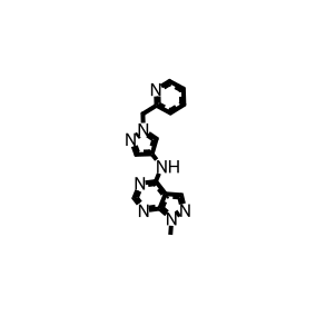 Cn1ncc2c(Nc3cnn(Cc4ccccn4)c3)ncnc21